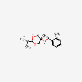 Cc1ccccc1COC1(C)COC(C(C)C)OC1